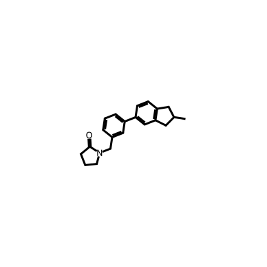 CC1Cc2ccc(-c3cccc(CN4CCCC4=O)c3)cc2C1